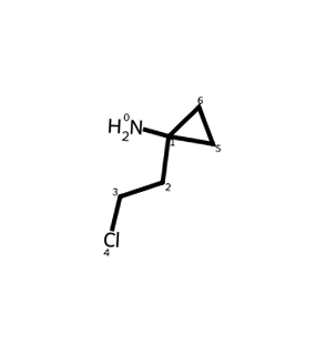 NC1(CCCl)CC1